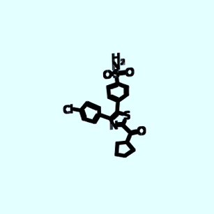 NS(=O)(=O)c1ccc(-c2sc(C(=O)C3CCCC3)nc2-c2ccc(Cl)cc2)cc1